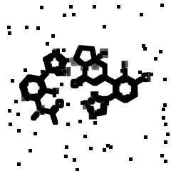 CC(=O)N(C)c1nccc(-c2cnc([C@@H]3CC[C@@H]4CC(c5c(-n6cnnn6)ccc(Cl)c5F)=CC(=O)N43)[nH]2)c1F